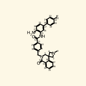 CN1CC2(C1)CN(Cc1ccc(C(=O)Nc3cc(-c4ccc(F)cc4)ccc3N)cc1)C(=O)c1ccccc12